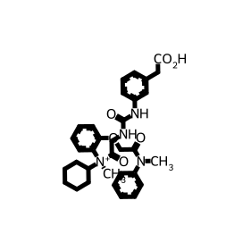 CN(C(=O)COc1ccccc1[N+](C)(C(=O)CNC(=O)Nc1cccc(CC(=O)O)c1)C1CCCCC1)c1ccccc1